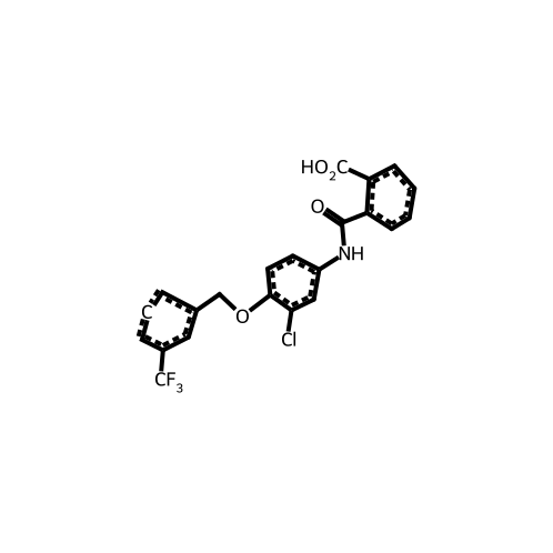 O=C(O)c1ccccc1C(=O)Nc1ccc(OCc2cccc(C(F)(F)F)c2)c(Cl)c1